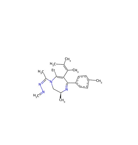 C=N/N=C(/C)N1C[C@H](C)N=C(c2ccc(C)cc2)C(C(C)=C(C)C)=C1CC